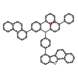 c1ccc(-c2ccc(N(c3ccc(-c4cccc5oc6c7ccccc7ccc6c45)cc3)c3cc(-c4cccc5c4ccc4ccccc45)ccc3-c3ccccc3)cc2)cc1